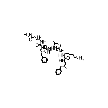 CC(C)[C@@H](CNC(=O)N[C@H](CNC(=O)N[C@@H](C)CNC(N)=O)Cc1ccccc1)NC(=O)NC[C@H](CCCCN)NC(=O)NC[C@@H](C)Cc1ccccc1